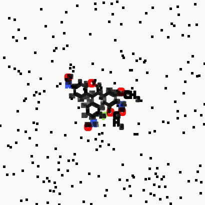 COc1cc(C2COc3cc(N=O)ccc3C2c2ccc(N=O)c(F)c2)cc(OC)c1N=O